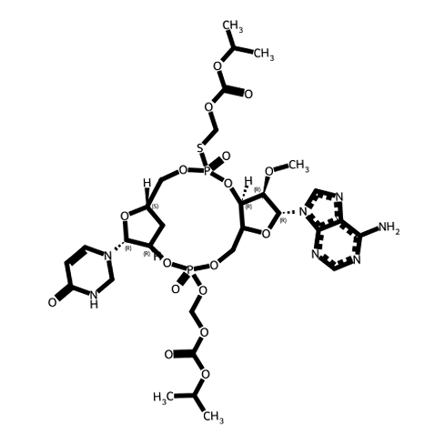 CO[C@@H]1[C@@H]2OP(=O)(SCOC(=O)OC(C)C)OC[C@@H]3C[C@@H](OP(=O)(OCOC(=O)OC(C)C)OCC2O[C@H]1n1cnc2c(N)ncnc21)[C@H](N1C=CC(=O)NC1)O3